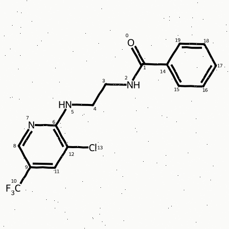 O=C(NCCNc1ncc(C(F)(F)F)cc1Cl)c1ccccc1